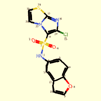 O=S(=O)(Nc1ccc2occc2c1)c1c(Cl)nc2sccn12